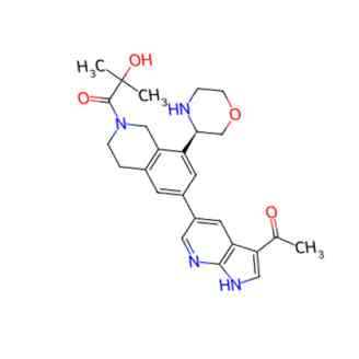 CC(=O)c1c[nH]c2ncc(-c3cc4c(c([C@@H]5COCCN5)c3)CN(C(=O)C(C)(C)O)CC4)cc12